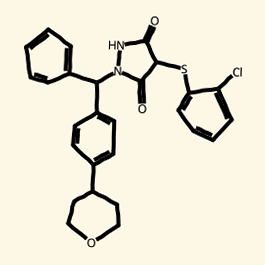 O=C1NN(C(c2ccccc2)c2ccc(C3CCOCC3)cc2)C(=O)C1Sc1ccccc1Cl